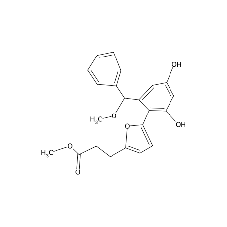 COC(=O)CCc1ccc(-c2c(O)cc(O)cc2C(OC)c2ccccc2)o1